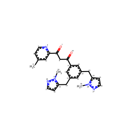 Cc1ccnc(C(=O)CC(=O)c2cc(Cc3ccnn3C)cc(Cc3ccnn3C)c2)c1